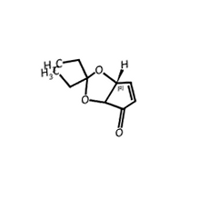 CCC1(CC)OC2C(=O)C=C[C@H]2O1